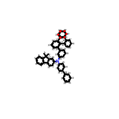 CC1(C)c2ccccc2-c2ccc(N(c3ccc(-c4ccccc4)cc3)c3cccc(-c4cccc(-c5ccccc5)c4-c4ccccc4-c4ccccc4)c3)cc21